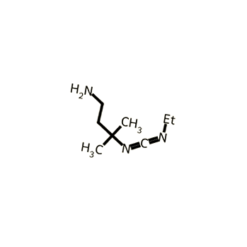 CCN=C=NC(C)(C)CCN